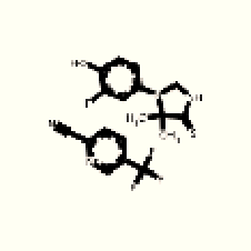 CC1(C)C(=S)NCN1c1ccc(O)c(F)c1.N#Cc1ccc(C(F)(F)F)cn1